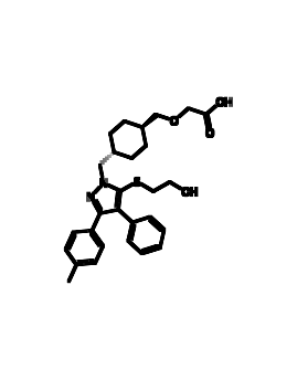 Cc1ccc(-c2nn(C[C@H]3CC[C@H](COCC(=O)O)CC3)c(SCCO)c2-c2ccccc2)cc1